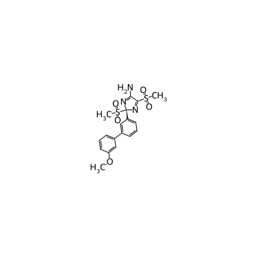 COc1cccc(-c2cccc([C@@]3(S(C)(=O)=O)N=C(N)C(S(C)(=O)=O)=N3)c2)c1